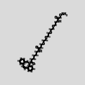 NOCC(=O)NCCOCCOCCOCCOCCC(=O)NCCCCCC(=O)N1Cc2ccccc2C#Cc2ccccc21